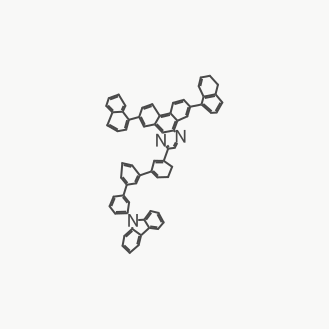 C1=Cc2c(cccc2-c2ccc3c4ccc(-c5cccc6ccccc56)cc4c4nc(C5=CC(c6cccc(-c7cccc(-n8c9ccccc9c9ccccc98)c7)c6)=CCC5)cnc4c3c2)CC1